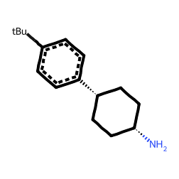 CC(C)(C)c1ccc([C@H]2CC[C@@H](N)CC2)cc1